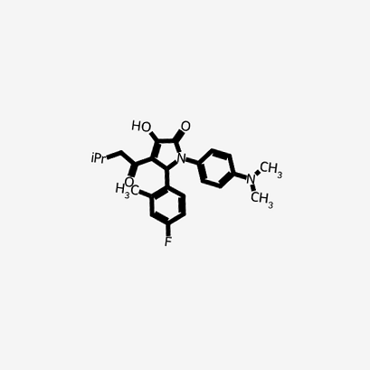 Cc1cc(F)ccc1C1C(C(=O)CC(C)C)=C(O)C(=O)N1c1ccc(N(C)C)cc1